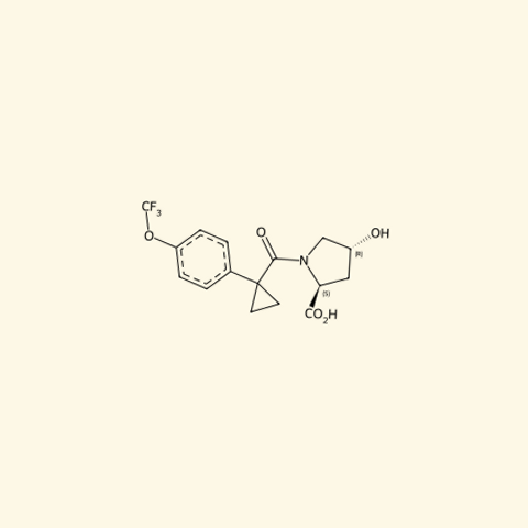 O=C(O)[C@@H]1C[C@@H](O)CN1C(=O)C1(c2ccc(OC(F)(F)F)cc2)CC1